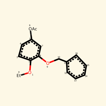 CCOc1ccc(OC(C)=O)cc1OCc1ccccc1